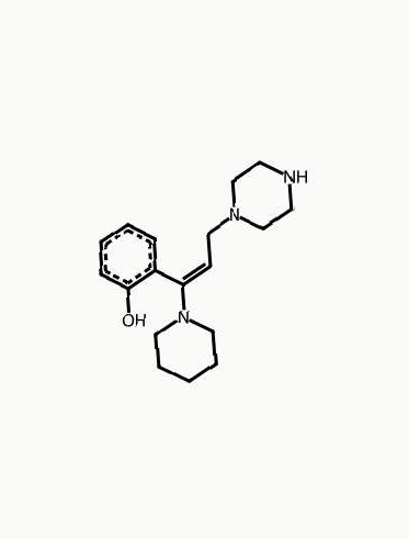 Oc1ccccc1/C(=C\CN1CCNCC1)N1CCCCC1